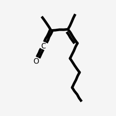 CCCCC=C(C)C(C)=C=O